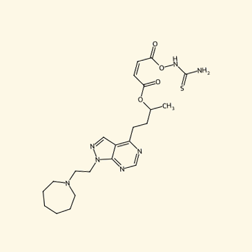 CC(CCc1ncnc2c1cnn2CCN1CCCCCC1)OC(=O)/C=C\C(=O)ONC(N)=S